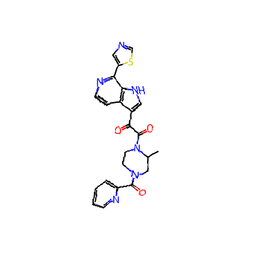 CC1CN(C(=O)c2ccccn2)CCN1C(=O)C(=O)c1c[nH]c2c(-c3cncs3)nccc12